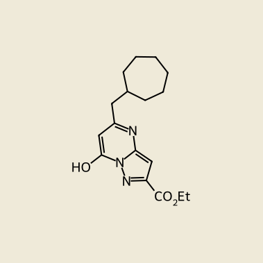 CCOC(=O)c1cc2nc(CC3CCCCCC3)cc(O)n2n1